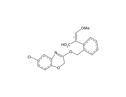 CO/C=C(/C(=O)O)c1ccccc1COC1=Nc2cc(Cl)ccc2OC1